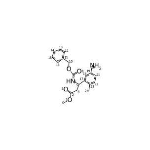 COC(=O)CC(NC(=O)OCc1ccccc1)c1cc(N)ccc1C